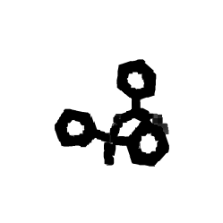 C=C(SP(=S)(c1ccccc1)c1ccccc1)c1ccccc1